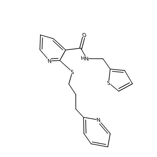 O=C(NCc1cccs1)c1cccnc1SCCCc1ccccn1